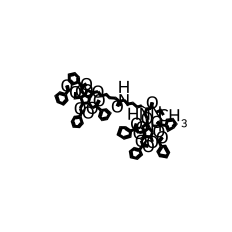 CCNC(=O)[C@H](CCCCNC(=O)CCCCOC1OC2(OC(=O)c3ccccc3)C(COC(=O)c3ccccc3)C(OC(=O)c3ccccc3)C(OC(=O)c3ccccc3)C12)NOC1OC2(OC(=O)c3ccccc3)C(OC(=O)c3ccccc3)C(OC(=O)c3ccccc3)C(OC(=O)c3ccccc3)C12